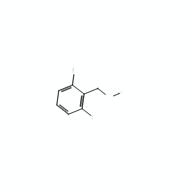 [CH2]OCc1c(F)cccc1F